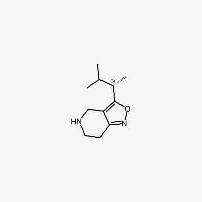 CC(C)[C@H](C)c1onc2c1CNCC2